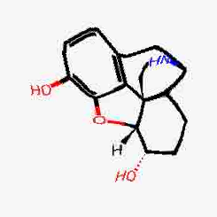 Oc1ccc2c3c1O[C@H]1[C@@H](O)CCC4C(C2)NCC[C@@]341